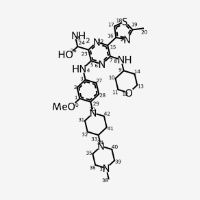 COc1cc(Nc2nc(NC3CCOCC3)c(-c3csc(C)n3)nc2C(N)O)ccc1N1CCC(N2CCN(C)CC2)CC1